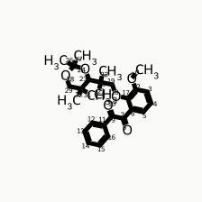 COc1cccc(C(=O)C(=O)c2ccccc2)c1OCC(C)(C)C1OC(C)(C)OCC1(C)C